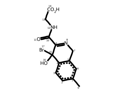 Cc1ccc2c(c1)CN=C(C(=O)NCC(=O)O)C2(O)Br